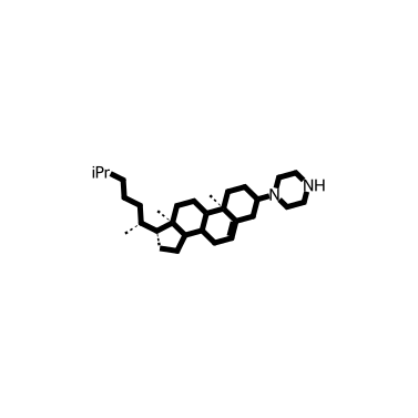 CC(C)CCC[C@@H](C)[C@H]1CCC2C3CC=C4CC(N5CCNCC5)CC[C@]4(C)C3CC[C@@]21C